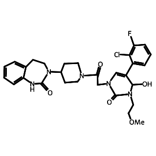 COCCN1C(=O)N(CC(=O)N2CCC(N3CCc4ccccc4NC3=O)CC2)C=C(c2cccc(F)c2Cl)C1O